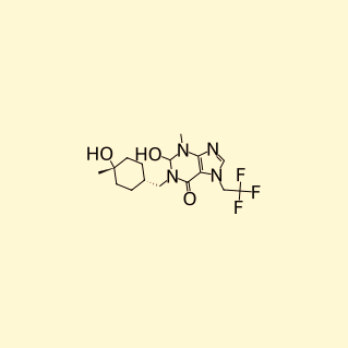 CN1c2ncn(CC(F)(F)F)c2C(=O)N(C[C@H]2CC[C@@](C)(O)CC2)C1O